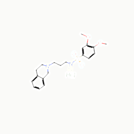 COc1ccc(S(=O)(=O)NCCCN2CCc3ccccc3C2)cc1OC.Cl